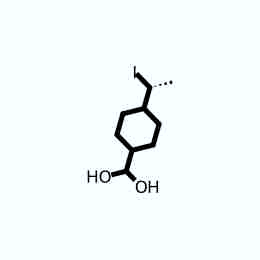 C[C@@H](I)C1CCC(C(O)O)CC1